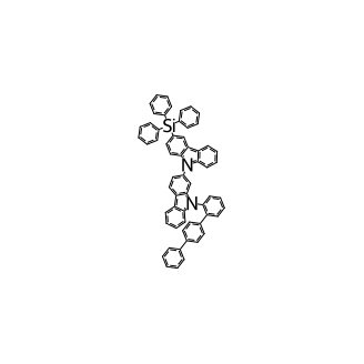 c1ccc(-c2ccc(-c3ccccc3-n3c4ccccc4c4ccc(-n5c6ccccc6c6cc([Si](c7ccccc7)(c7ccccc7)c7ccccc7)ccc65)cc43)cc2)cc1